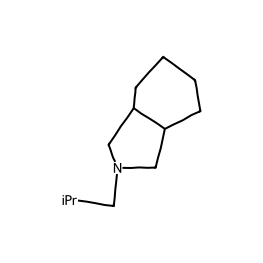 CC(C)CN1CC2CCCCC2C1